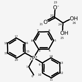 CC[P+](c1ccccc1)(c1ccccc1)c1ccccc1.O=C([O-])C(O)O